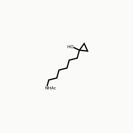 CC(=O)NCCCCCCC1(O)CC1